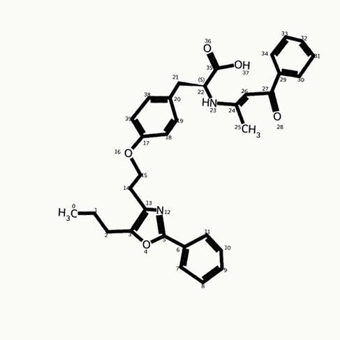 CCCc1oc(-c2ccccc2)nc1CCOc1ccc(C[C@H](NC(C)=CC(=O)c2ccccc2)C(=O)O)cc1